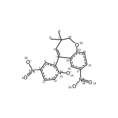 CC1(C)C=C(c2cc([N+](=O)[O-])cc[n+]2[O-])c2cc([N+](=O)[O-])ccc2OC1